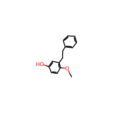 COc1ccc(O)cc1CCc1ccccc1